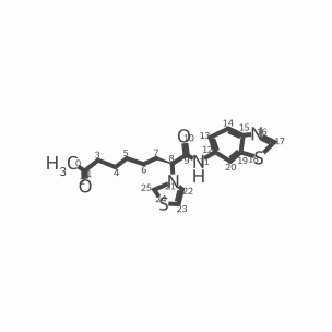 CC(=O)CCCCC[C@@H](C(=O)Nc1ccc2ncsc2c1)N1C=CSC1